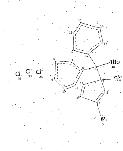 CC(C)C1=C[C]([Ti+3])(C(c2ccccc2)(c2ccccc2)C(C)(C)C)C=C1.[Cl-].[Cl-].[Cl-]